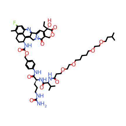 CC[C@@]1(O)C(=O)OCc2c1cc1n(c2=O)Cc2c-1nc1cc(F)c(C)c3c1c2[C@@H](NC(=O)OCc1ccc(NC(=O)[C@H](CCCNC(N)=O)NC(=O)[C@@H](NC(=O)CCOCCOCCCCCOCCOCCC(C)C)C(C)C)cc1)CC3